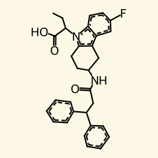 CCC(C(=O)O)n1c2c(c3cc(F)ccc31)CC(NC(=O)CC(c1ccccc1)c1ccccc1)CC2